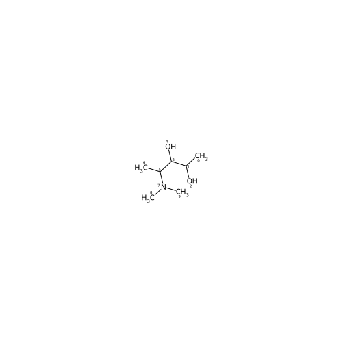 CC(O)C(O)C(C)N(C)C